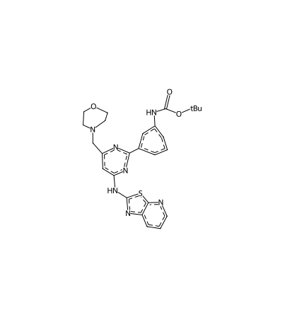 CC(C)(C)OC(=O)Nc1cccc(-c2nc(CN3CCOCC3)cc(Nc3nc4cccnc4s3)n2)c1